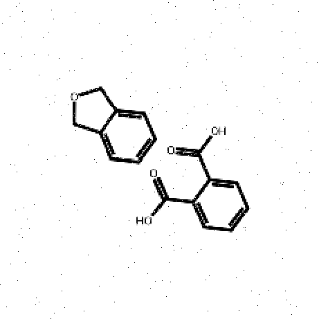 O=C(O)c1ccccc1C(=O)O.c1ccc2c(c1)COC2